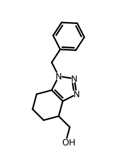 OCC1CCCc2c1nnn2Cc1ccccc1